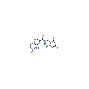 O=C1CCc2ccc(C(=O)NCc3c(F)cc(F)cc3F)cc2N1